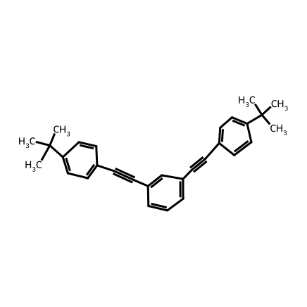 CC(C)(C)c1ccc(C#Cc2cccc(C#Cc3ccc(C(C)(C)C)cc3)c2)cc1